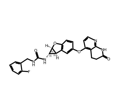 O=C1CCc2c(Oc3ccc4c(c3)[C@H]3[C@H](NC(=O)NCc5ccccc5F)[C@H]3O4)ccnc2N1